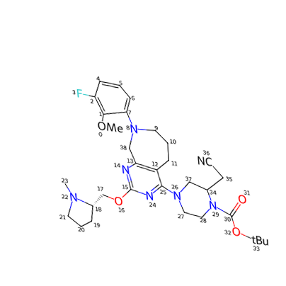 COc1c(F)cccc1N1CCCc2c(nc(OC[C@@H]3CCCN3C)nc2N2CCN(C(=O)OC(C)(C)C)C(CC#N)C2)C1